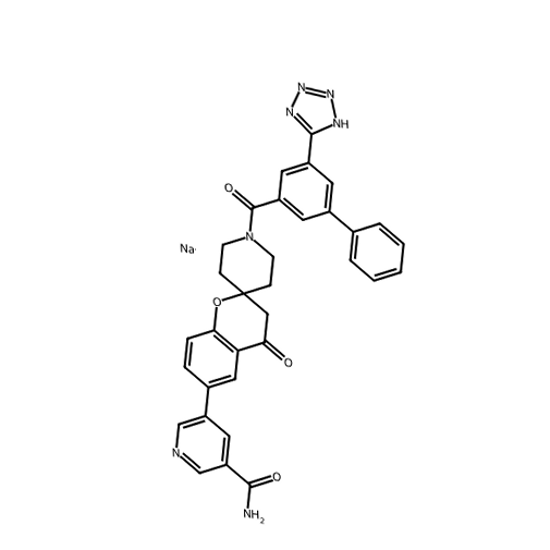 NC(=O)c1cncc(-c2ccc3c(c2)C(=O)CC2(CCN(C(=O)c4cc(-c5ccccc5)cc(-c5nnn[nH]5)c4)CC2)O3)c1.[Na]